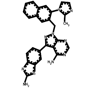 Cc1nccn1-c1cc2ccccc2cc1Cn1nc(-c2ccc3nc(N)sc3c2)c2c(N)ncnc21